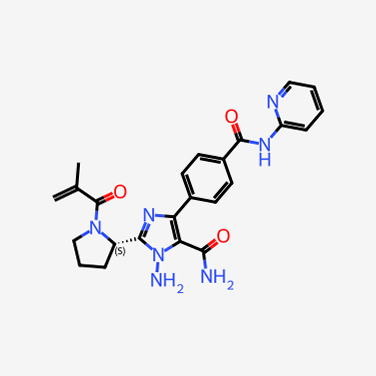 C=C(C)C(=O)N1CCC[C@H]1c1nc(-c2ccc(C(=O)Nc3ccccn3)cc2)c(C(N)=O)n1N